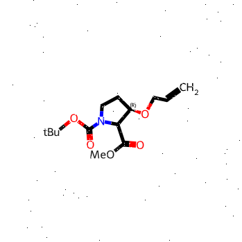 C=CCO[C@@H]1CCN(C(=O)OC(C)(C)C)C1C(=O)OC